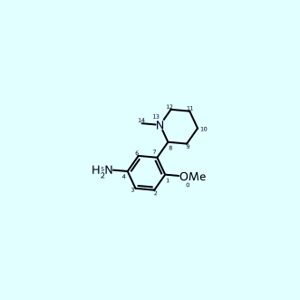 COc1ccc(N)cc1C1CCCCN1C